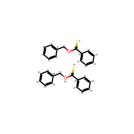 S=C(OCc1ccccc1)c1ccccc1.S=C(OCc1ccccc1)c1ccccc1